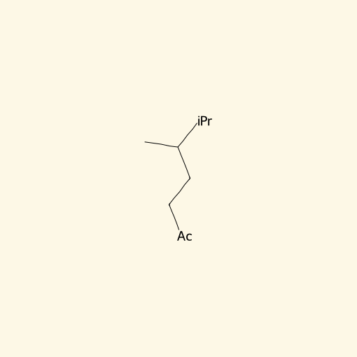 CC(=O)CCC(C)C(C)C